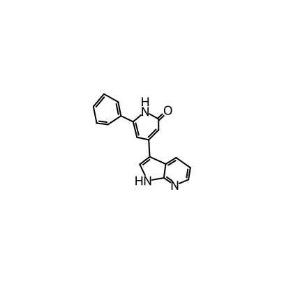 O=c1cc(-c2c[nH]c3ncccc23)cc(-c2ccccc2)[nH]1